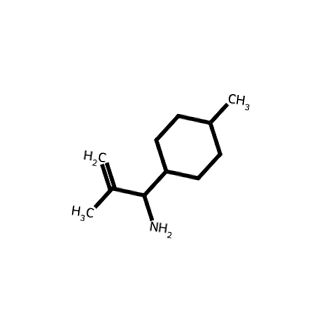 C=C(C)C(N)C1CCC(C)CC1